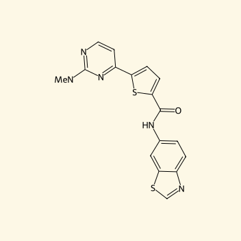 CNc1nccc(-c2ccc(C(=O)Nc3ccc4ncsc4c3)s2)n1